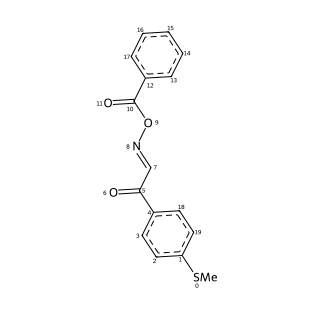 CSc1ccc(C(=O)/C=N/OC(=O)c2ccccc2)cc1